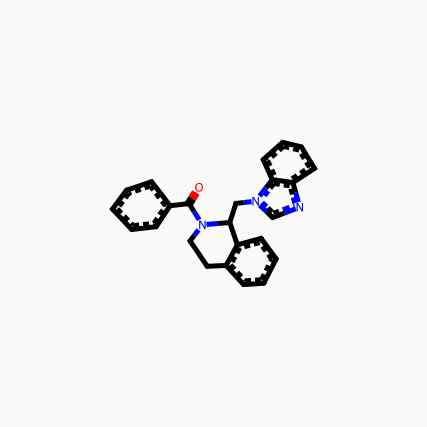 O=C(c1ccccc1)N1CCc2ccccc2C1Cn1cnc2ccccc21